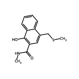 CNC(=O)c1cc(CSC)c2ccccc2c1O